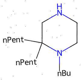 CCCCCC1(CCCCC)CNCCN1CCCC